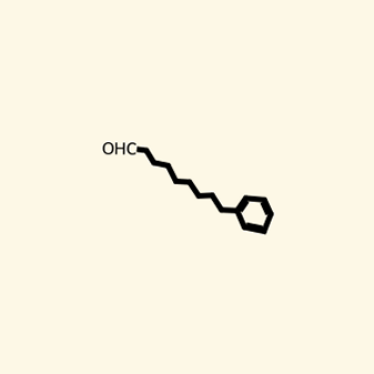 O=CCCCCCCCCc1ccccc1